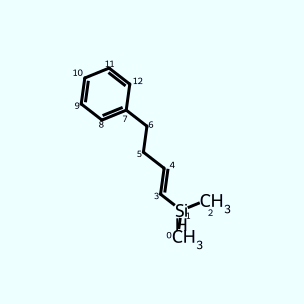 C[SiH](C)C=CCCc1ccccc1